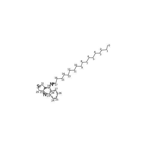 CCCCCCCCCCCCCCCCCC=Nc1c2c(nc3ccccc13)CSC2